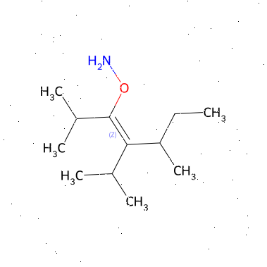 CCC(C)/C(=C(\ON)C(C)C)C(C)C